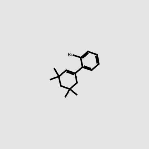 CC1(C)C=C(c2ccccc2Br)CC(C)(C)C1